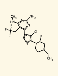 CCN1CCC(n2ncc(-c3nc(N)nc(NC)c3CC(F)(F)F)c2Cl)C(F)C1